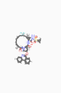 C[C@H]1CCCCCC(F)(F)C[C@@H]2C[C@@]2(C(=O)NS(=O)(=O)C2CC2)NC(=O)[C@@H]2C[C@@H](Oc3nc4ccccc4c4ccccc34)CN2C1=O